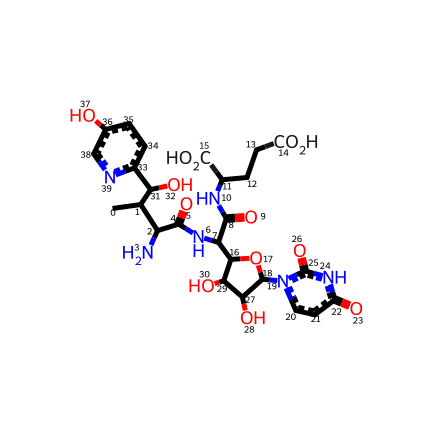 CC(C(N)C(=O)NC(C(=O)NC(CCC(=O)O)C(=O)O)C1OC(n2ccc(=O)[nH]c2=O)C(O)C1O)C(O)c1ccc(O)cn1